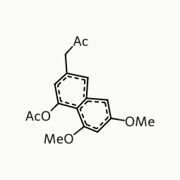 COc1cc(OC)c2c(OC(C)=O)cc(CC(C)=O)cc2c1